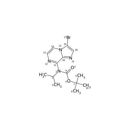 CC(C)N(C(=O)OC(C)(C)C)c1nccn2c(Br)cnc12